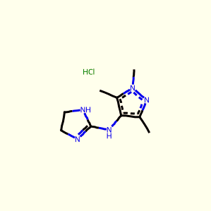 Cc1nn(C)c(C)c1NC1=NCCN1.Cl